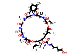 C/C=C(\C)[C@H]1OC(=O)C(C)(C)NC(=O)[C@H](C(C)CC)NC(=O)CN(C)C(=O)[C@@H](Cc2ccc(C#N)cc2)N(C)C(=O)[C@H](C)NC(=O)[C@@H](CC(C)C)OC(=O)/C(C)=C/C[C@H](OC(=O)NCCCCCO)[C@@H]1C